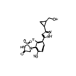 O=C1CN(c2c(O)ccc(-c3cc(C4CC4CO)n[nH]3)c2F)S(=O)(=O)N1